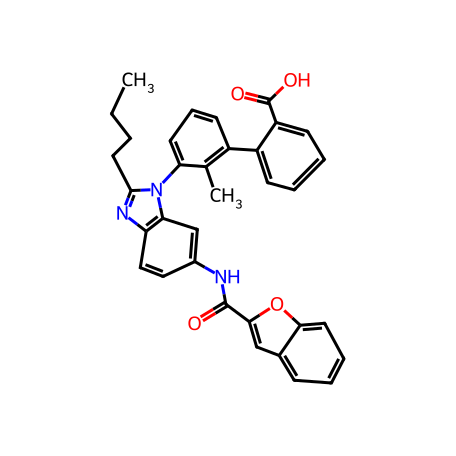 CCCCc1nc2ccc(NC(=O)c3cc4ccccc4o3)cc2n1-c1cccc(-c2ccccc2C(=O)O)c1C